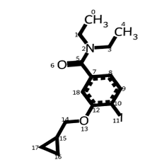 CCN(CC)C(=O)c1ccc(I)c(OCC2CC2)c1